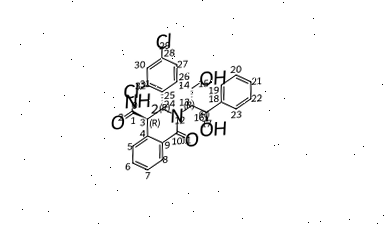 NC(=O)[C@@H]1c2ccccc2C(=O)N([C@H](CO)[C@H](O)c2ccccc2)[C@H]1c1ccc(Cl)cc1Cl